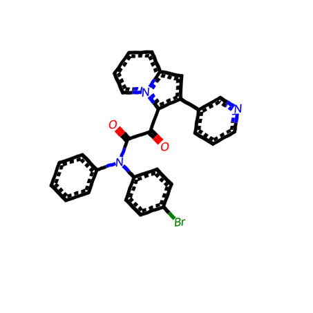 O=C(C(=O)N(c1ccccc1)c1ccc(Br)cc1)c1c(-c2cccnc2)cc2ccccn12